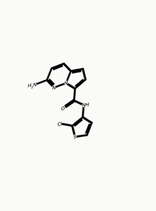 Nc1ccc2ccc(C(=O)Nc3ccsc3Cl)n2n1